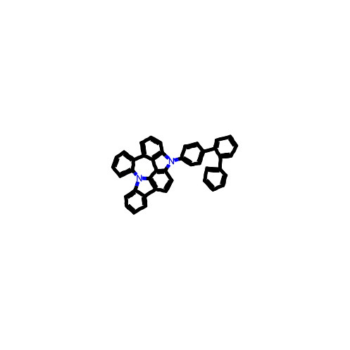 c1ccc(-c2ccccc2-c2ccc(-n3c4cccc5c6ccccc6n6c7ccccc7c7ccc3c(c54)c76)cc2)cc1